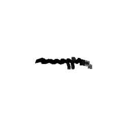 CCCCCCCCNCC(=O)OCCN